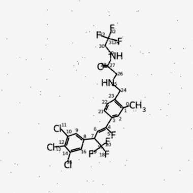 Cc1cc(/C(F)=C/C(c2cc(Cl)c(Cl)c(Cl)c2)C(F)(F)F)ccc1CNCC(=O)NCC(F)(F)F